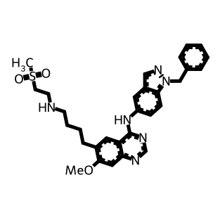 COc1cc2ncnc(Nc3ccc4c(cnn4Cc4ccccc4)c3)c2cc1CCCCNCCS(C)(=O)=O